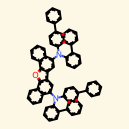 c1ccc(-c2ccc(N(c3ccccc3-c3ccccc3)c3cc4c5cc(N(c6ccc(-c7ccccc7)cc6)c6ccccc6-c6ccccc6)c6ccccc6c5oc4c4ccccc34)cc2)cc1